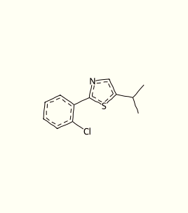 CC(C)c1cnc(-c2ccccc2Cl)s1